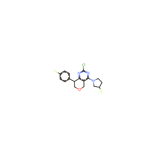 Fc1ccc(C2COCc3c2nc(Cl)nc3N2CCC(F)C2)cc1